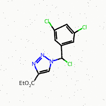 CCOC(=O)c1cn(C(Cl)c2cc(Cl)cc(Cl)c2)nn1